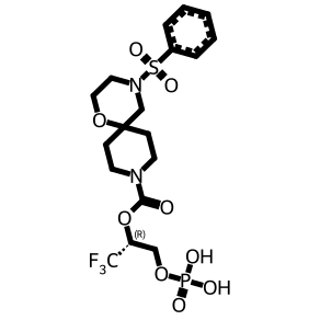 O=C(O[C@H](COP(=O)(O)O)C(F)(F)F)N1CCC2(CC1)CN(S(=O)(=O)c1ccccc1)CCO2